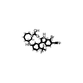 N#Cc1ccc2c(-c3cc(N[C@H]4CCCCN(C(=O)O)C4)ccc3C(F)(F)F)c[nH]c2c1Br